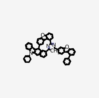 C/C(=N\C(=N/Cc1ccc2c(c1)oc1cccc(-c3ccccc3)c12)c1cccc2oc3ccc(-c4cccc5c4c4ccccc4n5C4=CC=CCC4)cc3c12)c1ccccc1